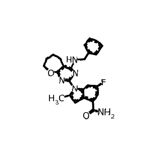 Cc1cc2c(C(N)=O)cc(F)cc2n1-c1nc(NCc2ccccc2)c2c(n1)OCCCC2